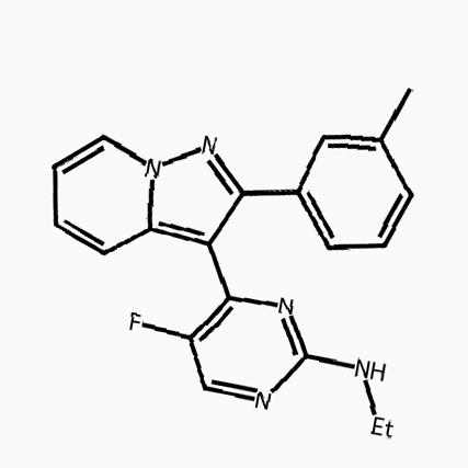 CCNc1ncc(F)c(-c2c(-c3cccc(C)c3)nn3ccccc23)n1